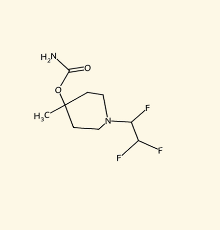 CC1(OC(N)=O)CCN(C(F)C(F)F)CC1